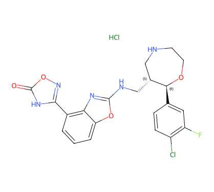 Cl.O=c1[nH]c(-c2cccc3oc(NC[C@@H]4CNCCO[C@H]4c4ccc(Cl)c(F)c4)nc23)no1